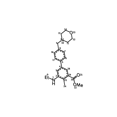 CCNc1cc(-c2ccc(CN3CCOCC3)cc2)cc(C(=O)OC)c1C